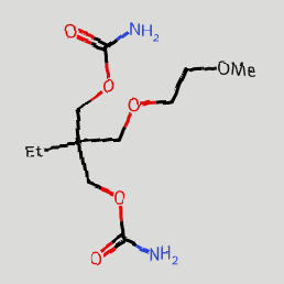 CCC(COCCOC)(COC(N)=O)COC(N)=O